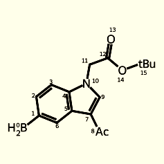 Bc1ccc2c(c1)c(C(C)=O)cn2CC(=O)OC(C)(C)C